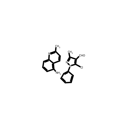 Cc1ccc2c(N)cccc2n1.Cc1nn(-c2ccccc2)c(Cl)c1C=O